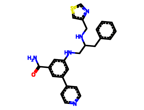 NC(=O)c1cc(NCC(Cc2ccccc2)NCc2cscn2)cc(-c2ccncc2)c1